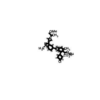 COCC(C)N1CC(c2nn(C)c3ccc(-c4nc5cc(C)c([C@H](OC(C)(C)C)C(=O)O)c(-c6ccc(Cl)cc6)c5s4)cc23)C1